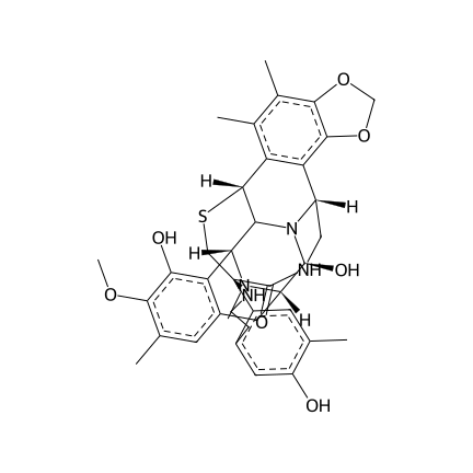 COc1c(C)cc2c(c1O)[C@@H]1C3[C@@H]4SC[C@]5(NCCc6cc(O)c(C)cc65)C(=O)NC[C@@H](c5c6c(c(C)c(C)c54)OCO6)N3[C@@H](O)[C@H](C2)N1C